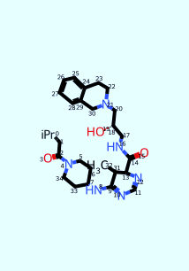 CC(C)CC(=O)N1CCC(NC2=NC=NC(C(=O)NC[C@H](O)CN3CCc4ccccc4C3)C2C)CC1